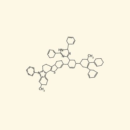 CC1C=c2c(c3c(n2-c2ccccc2)CCC2=C3SC3C=C(C4C=CC(C5CC(C6C=CC=CC6)=C(C6=CCCCC6)C(C)C5)CC4C4=NC(C5C=CC=CC5)NC(C5=CC=CCC5)=N4)CCC23)=CC1